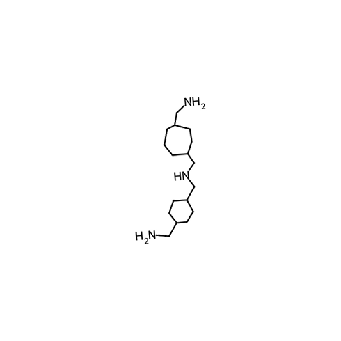 NCC1CCCC(CNCC2CCC(CN)CC2)CC1